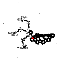 COP(=O)(O)OCC[N+](C)(C)CCCOc1ccc(C2N(C)CC34C5=c6ccc7c8ccc9c%10ccc%11c%12ccc%13c%14c(c%15c%16c3c6c7c3c8c9c6c%10c%11c(c%14%12)c%15c6c%163)C24C=%13C=C5)c(OCCC[N+](C)(C)CCOP(=O)(O)OC)c1OCCC[N+](C)(C)CCOP(=O)(O)OC